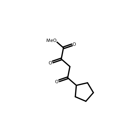 COC(=O)C(=O)CC(=O)C1CCCC1